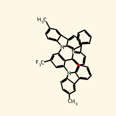 Cc1ccc2c(c1)c1ccccc1n2-c1cc(C(F)(F)F)cc(-n2c3ccccc3c3cc(C)ccc32)c1-c1cccc(-c2ccccc2)n1